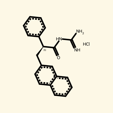 Cl.N=C(N)NC(=O)[C@@H](Cc1ccc2ccccc2c1)c1ccccc1